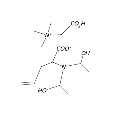 C=CCC(C(=O)[O-])N(C(C)O)C(C)O.C[N+](C)(C)CC(=O)O